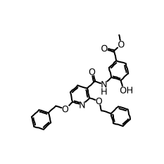 COC(=O)c1ccc(O)c(NC(=O)c2ccc(OCc3ccccc3)nc2OCc2ccccc2)c1